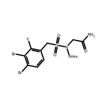 CCCCCCN(CC(N)=O)S(=O)(=O)Cc1ccc(Br)c(Br)c1F